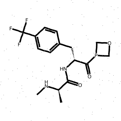 CN[C@H](C)C(=O)N[C@H](Cc1ccc(C(F)(F)F)cc1)C(=O)P1COC1